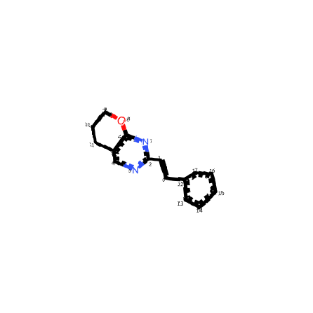 C(=Cc1ncc2c(n1)OCCC2)c1ccccc1